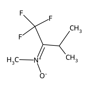 CC(C)C(=[N+](C)[O-])C(F)(F)F